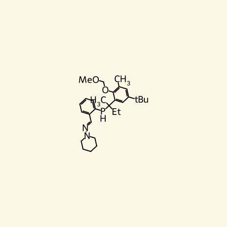 CCC(C)(Pc1ccccc1/C=N/N1CCCCC1)c1cc(C(C)(C)C)cc(C)c1OCOC